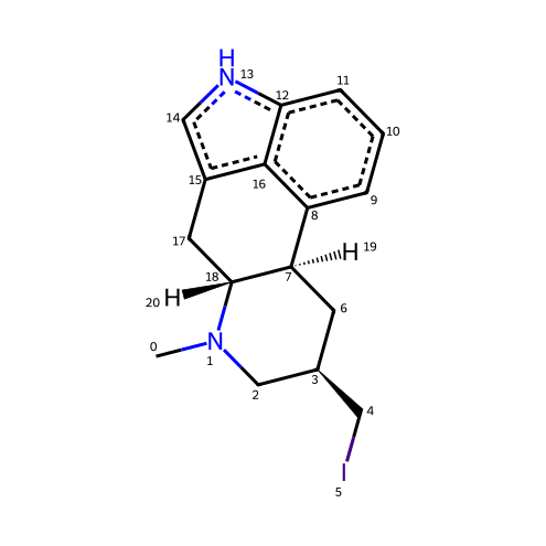 CN1C[C@H](CI)C[C@@H]2c3cccc4[nH]cc(c34)C[C@H]21